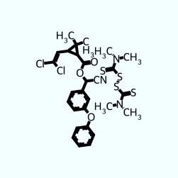 CC1(C)C(C=C(Cl)Cl)C1C(=O)OC(C#N)c1cccc(Oc2ccccc2)c1.CN(C)C(=S)SSC(=S)N(C)C